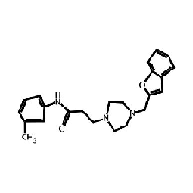 Cc1cccc(NC(=O)CCN2CCN(Cc3cc4ccccc4o3)CC2)c1